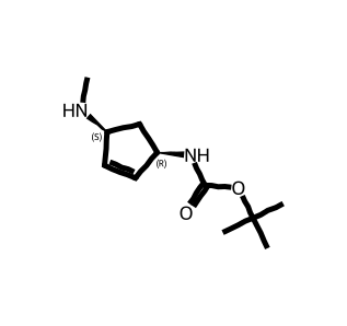 CN[C@@H]1C=C[C@H](NC(=O)OC(C)(C)C)C1